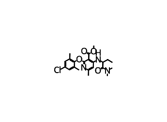 CCC(Nc1cc(C)nc(Oc2c(C)cc(Cl)cc2C)c1C(=O)OC)C(=O)N(C)C